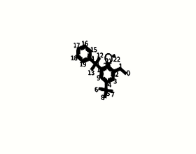 CCc1cc(C(C)(C)C)cc(C(C)(C)c2ccccc2)c1OC